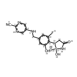 N#Cc1ncc(NCc2cc(O)c(N3CC(=O)NS3(O)O)c(F)c2)cn1